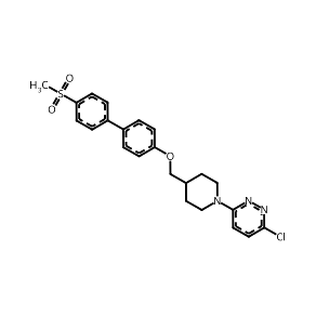 CS(=O)(=O)c1ccc(-c2ccc(OCC3CCN(c4ccc(Cl)nn4)CC3)cc2)cc1